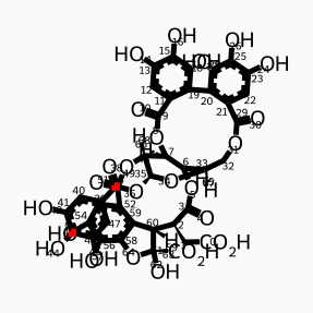 O=C(O)C[C@@H]1C(=O)O[C@H]2[C@@H]3OC(=O)c4cc(O)c(O)c(O)c4-c4c(cc(O)c(O)c4O)C(=O)OC[C@H]2O[C@@H](OC(=O)c2cc(O)c(O)c(O)c2)[C@@H]3OC(=O)c2cc(O)c(O)c3c2[C@H]1[C@@](O)(C(=O)O)O3